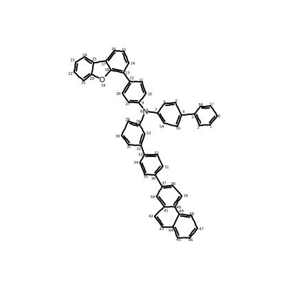 c1ccc(-c2ccc(N(c3ccc(-c4cccc5c4oc4ccccc45)cc3)c3cccc(-c4ccc(-c5ccc6c(ccc7ccccc76)c5)cc4)c3)cc2)cc1